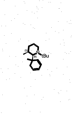 C[C@H]1CCCN(C(C)(C)C)[C@H]1C1(C)C=CC=CC1